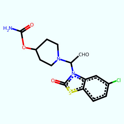 NC(=O)OC1CCN(C(C=O)n2c(=O)sc3ccc(Cl)cc32)CC1